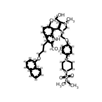 CCOC(=O)c1[nH]c2c(C3=C(CO)N(C)CN3COc3ccc(N4CCN(S(=O)(=O)N(C)C)CC4)cc3)c(C)ccc2c1CCCOc1cccc2ccccc12